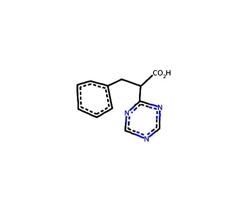 O=C(O)C(Cc1ccccc1)c1ncncn1